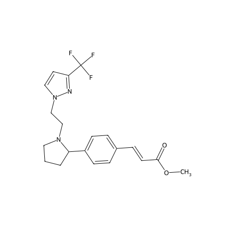 COC(=O)C=Cc1ccc(C2CCCN2CCn2ccc(C(F)(F)F)n2)cc1